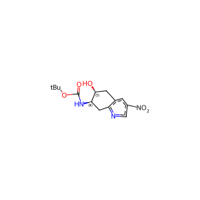 CC(C)(C)OC(=O)N[C@@H]1Cc2ncc([N+](=O)[O-])cc2C[C@@H]1O